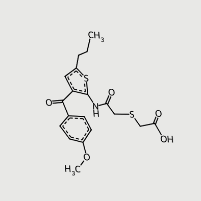 CCCc1cc(C(=O)c2ccc(OC)cc2)c(NC(=O)CSCC(=O)O)s1